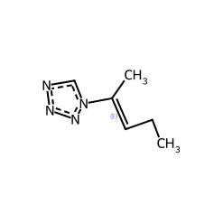 CC/C=C(\C)n1cnnn1